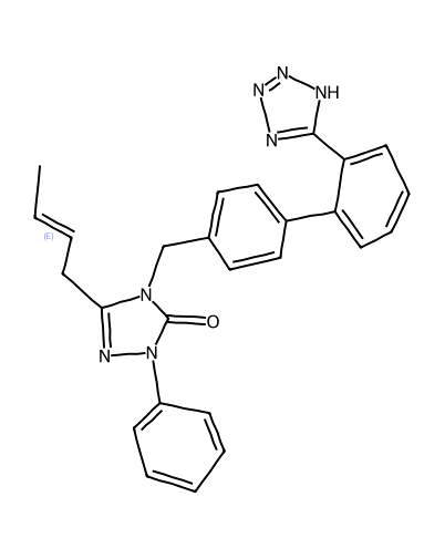 C/C=C/Cc1nn(-c2ccccc2)c(=O)n1Cc1ccc(-c2ccccc2-c2nnn[nH]2)cc1